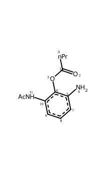 CCCC(=O)Oc1c(N)cccc1NC(C)=O